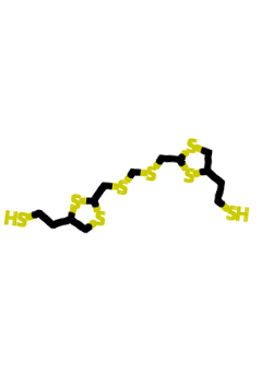 SCCC1CSC(CSCSCC2SCC(CCS)S2)S1